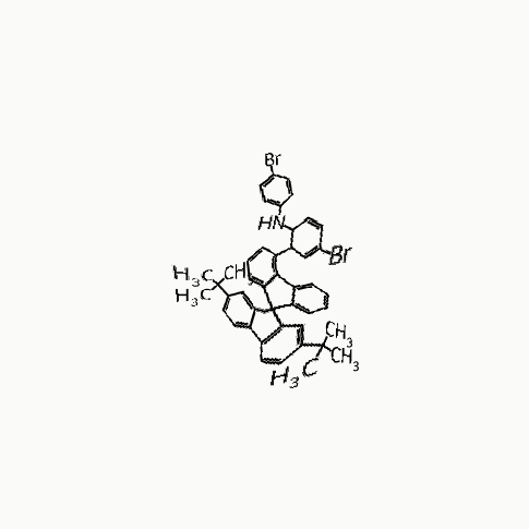 CC(C)(C)c1ccc2c(c1)C1(c3cc(C(C)(C)C)ccc3-2)c2ccccc2-c2c(C3C=C(Br)C=CC3Nc3ccc(Br)cc3)cccc21